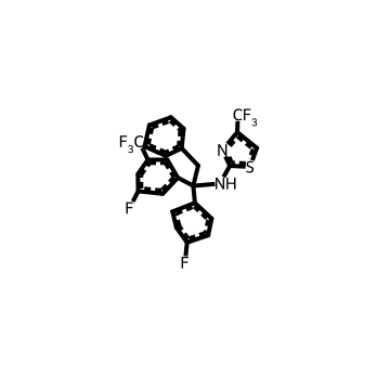 Fc1ccc(C(Cc2ccccc2)(Nc2nc(C(F)(F)F)cs2)c2cc(F)cc(C(F)(F)F)c2)cc1